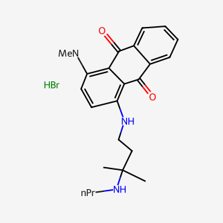 Br.CCCNC(C)(C)CCNc1ccc(NC)c2c1C(=O)c1ccccc1C2=O